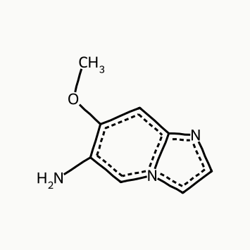 COc1cc2nccn2cc1N